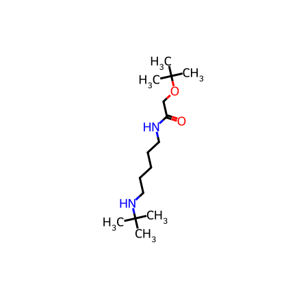 CC(C)(C)NCCCCCNC(=O)COC(C)(C)C